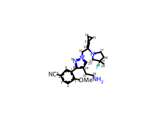 COc1ccc(C#N)cc1-c1nn(CC(=C2CC2)N2CCC(C)(F)C2)cc1CCN